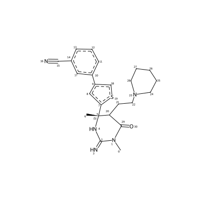 CN1C(=N)N[C@](C)(c2cc(-c3cccc(C#N)c3)cs2)C(CCN2CCCCC2)C1=O